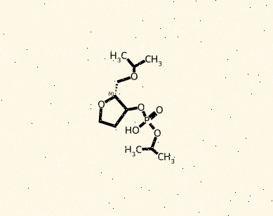 CC(C)OC[C@H]1OCCC1OP(=O)(O)OC(C)C